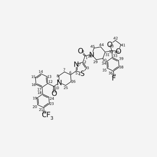 O=C(c1csc(C2CCN(C(=O)c3ccccc3-c3ccc(C(F)(F)F)cc3)CC2)n1)N1CCC(C2(c3ccc(F)cc3)OCCO2)CC1